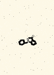 O=c1cnn(Cc2ccccc2)c2ccccc12